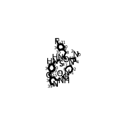 CN(C)C1CN(C2CCN(OC(=O)Nc3cc(Oc4ccc(NC(=S)NC(=O)Cc5ccc(F)cc5)cc4)ccn3)CC2)C1